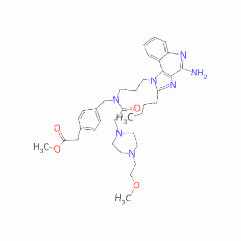 CCCCc1nc2c(N)nc3ccccc3c2n1CCCN(Cc1ccc(CC(=O)OC)cc1)C(=O)CN1CCN(CCOC)CC1